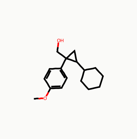 COc1ccc(C2(CO)CC2C2CCCCC2)cc1